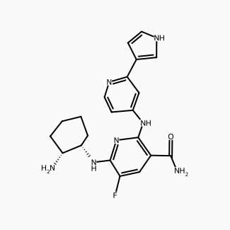 NC(=O)c1cc(F)c(N[C@H]2CCCC[C@H]2N)nc1Nc1ccnc(-c2cc[nH]c2)c1